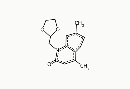 Cc1ccc2c(C)cc(=O)n(CC3OCCO3)c2c1